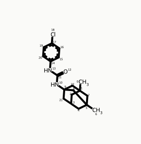 CC12CC3CC(C)(C1)CC(NC(=O)Nc1ccc(Cl)cc1)(C3)C2